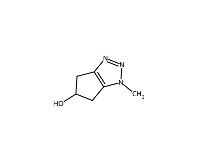 Cn1nnc2c1CC(O)C2